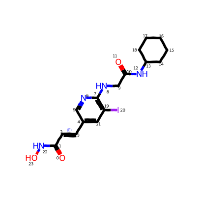 O=C(/C=C/c1cnc(NCC(=O)NC2CCCCC2)c(I)c1)NO